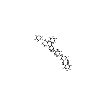 c1ccc(-c2ccc3c4ccc(-c5ncc(-c6ccc7c(c6)Sc6ccccc6S7)cn5)cc4c4ccccc4c3c2)cc1